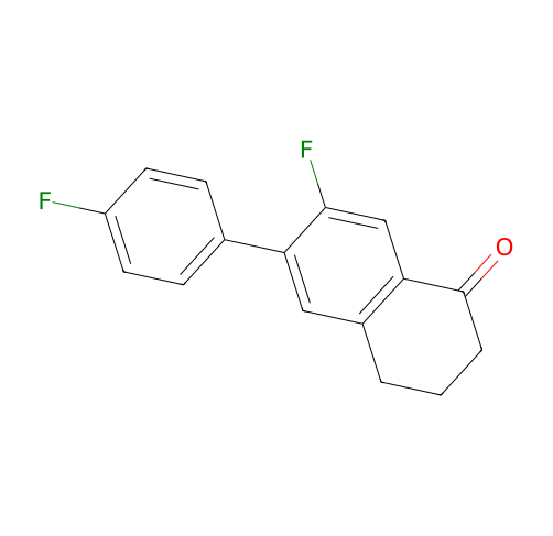 O=C1CCCc2cc(-c3ccc(F)cc3)c(F)cc21